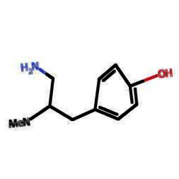 CNC(CN)Cc1ccc(O)cc1